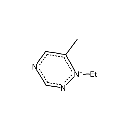 CC[n+]1ncncc1C